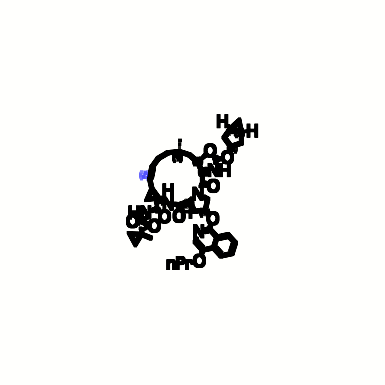 CCCOc1cnc(O[C@@H]2C[C@H]3C(=O)N[C@]4(C(=O)NS(=O)(=O)C5(C)CC5)CC4/C=C\CC[C@H](C)C[C@@H](C)[C@H](NC(=O)O[C@@H]4C[C@@H]5C[C@@H]5C4)C(=O)N3C2)c2ccccc12